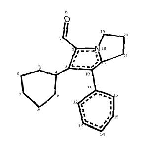 O=Cc1c(C2CCCCC2)c(-c2ccccc2)c2n1CCC2